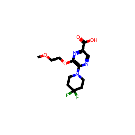 COCCOc1nc(C(=O)O)cnc1N1CCC(F)(F)CC1